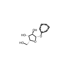 OC[C@H]1O[C@@H](Oc2ccccc2)[C@H](O)[C@H]1O